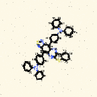 c1ccc(N(c2ccccc2)c2ccc(-c3c4nsnc4c(-c4ccc(N(c5ccccc5)c5ccccc5)cc4)c4nc5c(nc34)sc3ccccc35)cc2)cc1